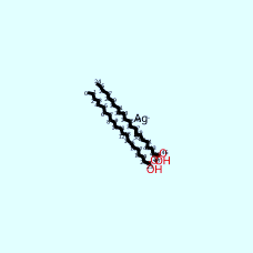 CCCCCCCCCCCCCCCCCCCCCC(=O)O.CCCCCCCCCCCCCCCCCCCCCC(=O)O.[Ag]